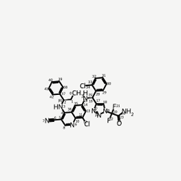 CC[C@@H](Nc1c(C#N)cnc2c(Cl)cc(N[C@H](c3cn(C(F)(F)C(N)=O)nn3)c3ccccc3Cl)cc12)c1ccccc1